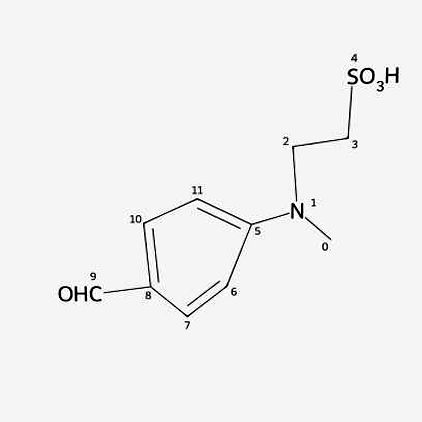 CN(CCS(=O)(=O)O)c1ccc(C=O)cc1